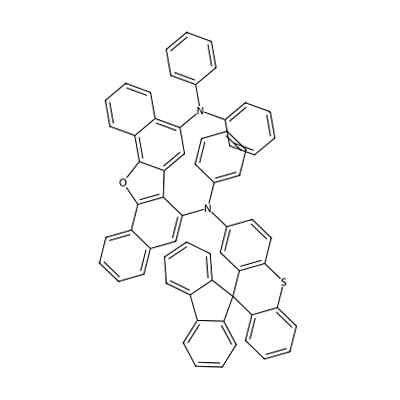 c1ccc(N(c2ccccc2)c2cc3c(oc4c5ccccc5cc(N(c5ccccc5)c5ccc6c(c5)C5(c7ccccc7S6)c6ccccc6-c6ccccc65)c34)c3ccccc23)cc1